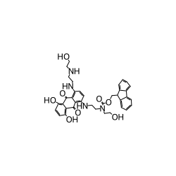 O=C1c2c(O)ccc(O)c2C(=O)c2c(NCCN(CCO)C(=O)OCC3c4ccccc4-c4ccccc43)ccc(NCCNCCO)c21